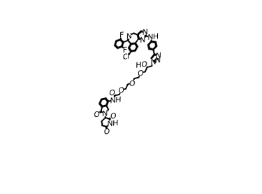 O=C1CCC(N2Cc3c(NC(=O)COCCOCCOCC(O)Cn4cc(-c5ccc(Nc6ncc7c(n6)-c6ccc(Cl)cc6C(c6c(F)cccc6F)=NC7)cc5)nn4)cccc3C2=O)C(=O)N1